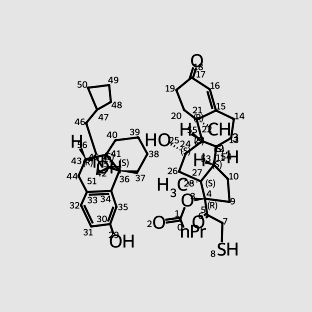 CCCC(=O)O[C@]1(C(=O)CS)CC[C@H]2[C@@H]3CCC4=CC(=O)CC[C@]4(C)[C@H]3[C@@H](O)C[C@@]21C.Oc1ccc2c(c1)[C@@]13CCCC[C@@]1(O)[C@@H](C2)N(CC1CCC1)CC3